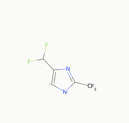 FC(F)C1=[C][N]C(C(F)(F)F)=N1